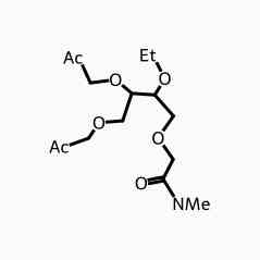 CCOC(COCC(=O)NC)C(COCC(C)=O)OCC(C)=O